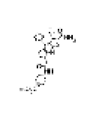 CCOC(=O)N1CCC(NC(=O)CC2CCc3c2nc2c(c3-c3cccs3)C(N)C(C(N)=O)S2)CC1